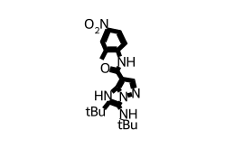 Cc1cc([N+](=O)[O-])ccc1NC(=O)c1cnn2c(NC(C)(C)C)c(C(C)(C)C)[nH]c12